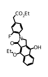 CCOC(=O)Cc1ccc(N2Cc3c(c(OCC)c4ccccc4c3O)C2=O)c(F)c1